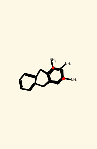 Nc1cc2c(c(N)c1N)C1c3ccccc3C2c2ccccc21